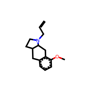 C=CCN1CCC2Cc3cccc(OC)c3CC21